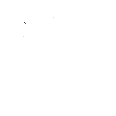 NC(=O)C[C@@H](Nc1ccc(-c2nc3ccc(C4(c5ccccc5)CC4)nc3s2)c(F)c1)C(=O)O